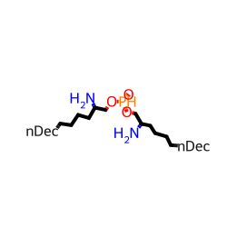 CCCCCCCCCCCCCCC(N)CO[PH](=O)OCC(N)CCCCCCCCCCCCCC